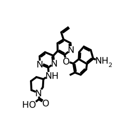 C=Cc1cnc(Oc2c(C)ccc3c(N)cccc23)c(-c2ccnc(NC3CCCN(C(=O)O)C3)n2)c1